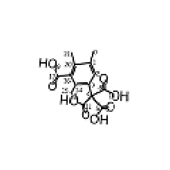 Cc1cc(C(C(=O)O)(C(=O)O)C(=O)O)c(C)c(C(=O)O)c1C